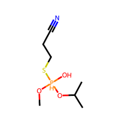 CO[PH](O)(OC(C)C)SCCC#N